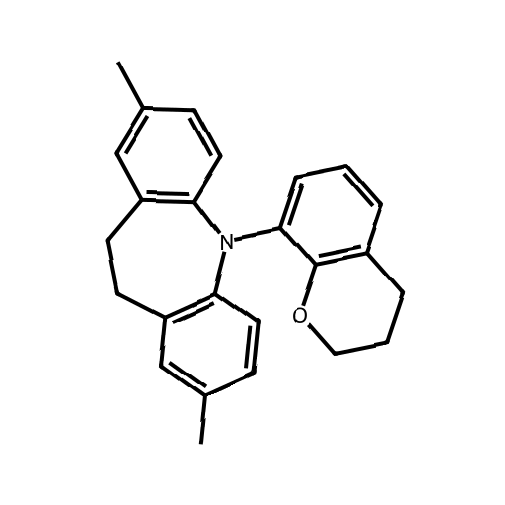 Cc1ccc2c(c1)CCc1cc(C)ccc1N2c1cccc2c1OCCC2